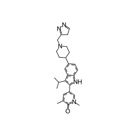 Cc1cc(-c2[nH]c3ccc(C4CCN(CC5=NN=CC5)CC4)cc3c2C(C)C)cn(C)c1=O